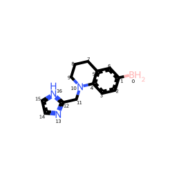 Bc1ccc2c(c1)CCCN2Cc1ncc[nH]1